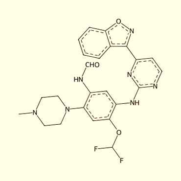 CN1CCN(c2cc(OC(F)F)c(Nc3nccc(-c4noc5ccccc45)n3)cc2NC=O)CC1